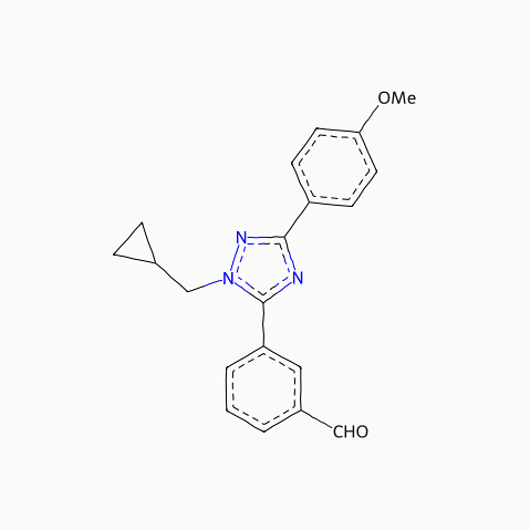 COc1ccc(-c2nc(-c3cccc(C=O)c3)n(CC3CC3)n2)cc1